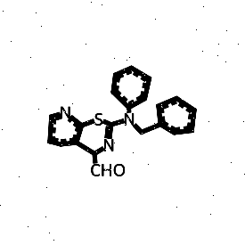 O=CC1N=C(N(Cc2ccccc2)c2ccccc2)Sc2ncccc21